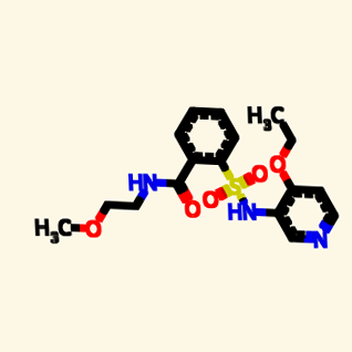 CCOc1ccncc1NS(=O)(=O)c1ccccc1C(=O)NCCOC